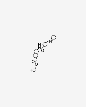 O=C(CC1CCc2ccc(NC(=O)c3ccc(/C=N/N4CCCCC4)cc3)cc2C1)OCCO